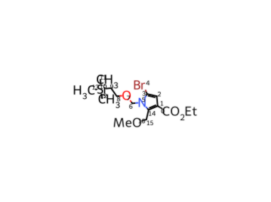 CCOC(=O)c1cc(Br)n(COCC[Si](C)(C)C)c1COC